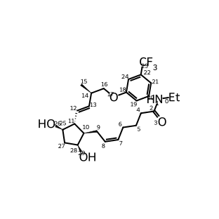 CCNC(=O)CCC/C=C\C[C@@H]1[C@@H](/C=C/[C@@H](C)COc2cccc(C(F)(F)F)c2)[C@H](O)C[C@@H]1O